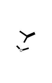 C=C(C)C.COC